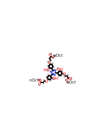 CCCCCCCCOC(=O)CCOc1ccc(-c2nc(-c3ccc(OCCC(=O)OCCCCCCCC)cc3O)nc(-c3ccc(OCCC(=O)OCCCCCCCC)cc3O)n2)c(O)c1